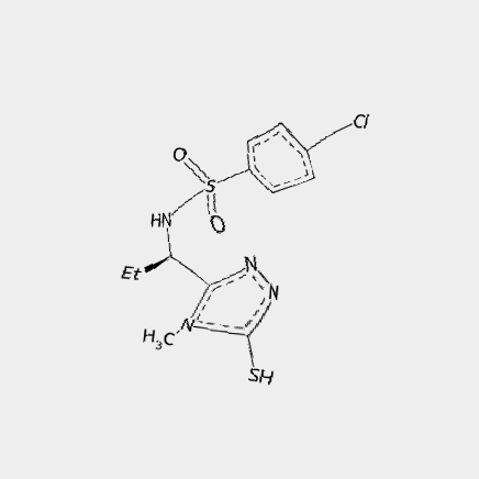 CC[C@@H](NS(=O)(=O)c1ccc(Cl)cc1)c1nnc(S)n1C